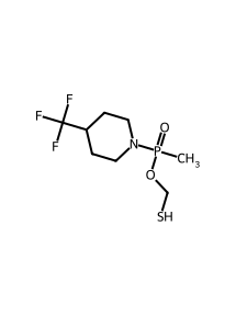 CP(=O)(OCS)N1CCC(C(F)(F)F)CC1